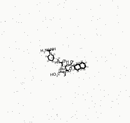 CCC(C)[C@@H](C(=O)O)N(C)C(=O)[C@H](CC(=O)NC[C@@H]1CCCN(C(=N)N)C1)NS(=O)(=O)c1ccc2ccccc2c1